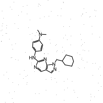 CN(C)c1ccc(Nc2ncc3cnn(CC4CCCCC4)c3n2)cc1